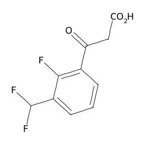 O=C(O)CC(=O)c1cccc(C(F)F)c1F